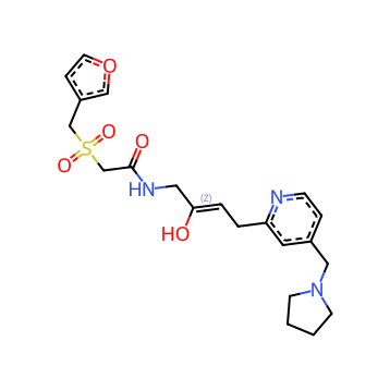 O=C(CS(=O)(=O)Cc1ccoc1)NC/C(O)=C/Cc1cc(CN2CCCC2)ccn1